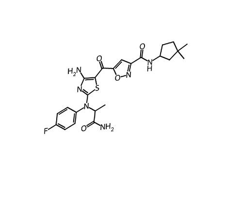 CC(C(N)=O)N(c1ccc(F)cc1)c1nc(N)c(C(=O)c2cc(C(=O)NC3CCC(C)(C)C3)no2)s1